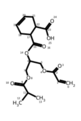 C=CC(=O)OCC(COC(=O)C(C)C)OC(=O)C1CC=CCC1C(=O)O